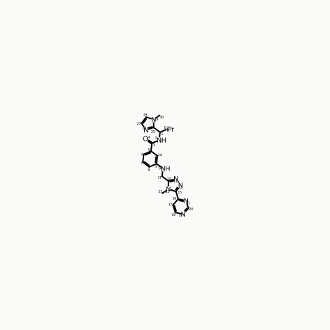 CC(C)C(NC(=O)c1cccc(NCc2nnc(-c3ccncn3)n2C)c1)c1nccn1C